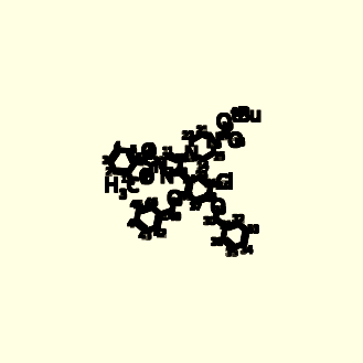 Cc1ccccc1S(=O)(=O)n1cc(N2CCN(C(=O)OC(C)(C)C)CC2)c(-c2cc(Cl)c(OCc3ccccc3)cc2OCc2ccccc2)n1